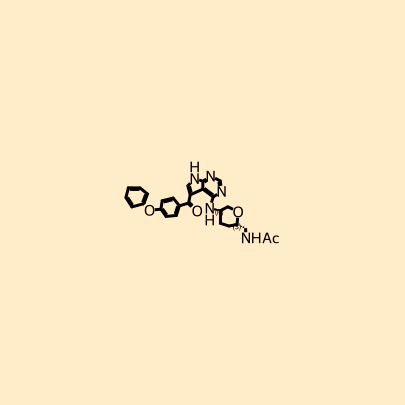 CC(=O)NC[C@@H]1CC[C@@H](Nc2ncnc3[nH]cc(C(=O)c4ccc(Oc5ccccc5)cc4)c23)CO1